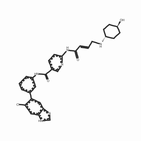 O=C(/C=C/CN[C@H]1CC[C@H](O)CC1)Nc1ccc(C(=O)Nc2cccc(-c3cc4nc[nH]c4cc3Cl)c2)cn1